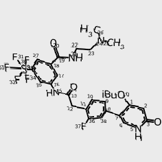 CC(C)COc1cc(=O)[nH]cc1-c1ccc(CC(=O)Nc2cc(C(=O)NCCN(C)C)cc(S(F)(F)(F)(F)F)c2)c(F)c1